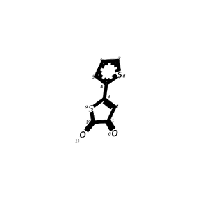 O=C1C=C(c2cccs2)SC1=O